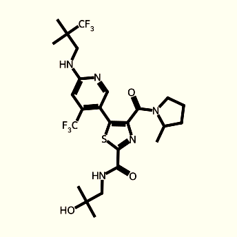 CC1CCCN1C(=O)c1nc(C(=O)NCC(C)(C)O)sc1-c1cnc(NCC(C)(C)C(F)(F)F)cc1C(F)(F)F